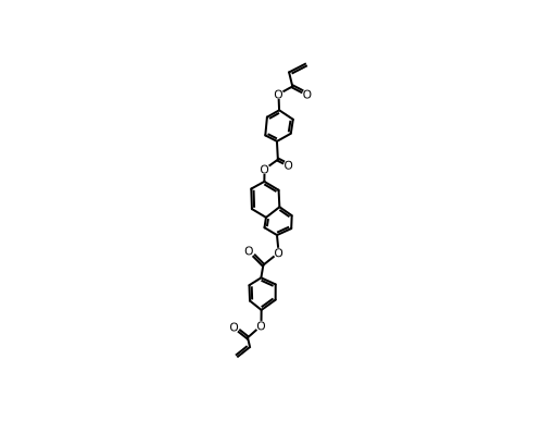 C=CC(=O)Oc1ccc(C(=O)Oc2ccc3cc(OC(=O)c4ccc(OC(=O)C=C)cc4)ccc3c2)cc1